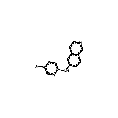 Brc1ccc(Nc2ccc3cnccc3c2)nc1